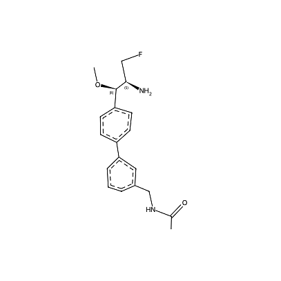 CO[C@H](c1ccc(-c2cccc(CNC(C)=O)c2)cc1)[C@H](N)CF